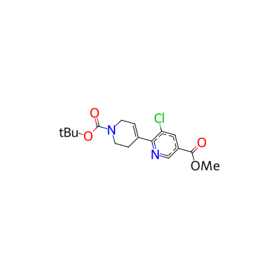 COC(=O)c1cnc(C2=CCN(C(=O)OC(C)(C)C)CC2)c(Cl)c1